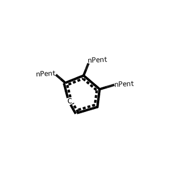 CCCCCc1c[c]cc(CCCCC)c1CCCCC